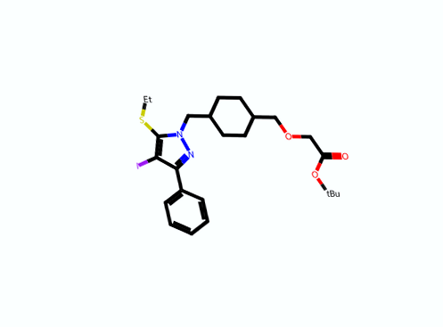 CCSc1c(I)c(-c2ccccc2)nn1CC1CCC(COCC(=O)OC(C)(C)C)CC1